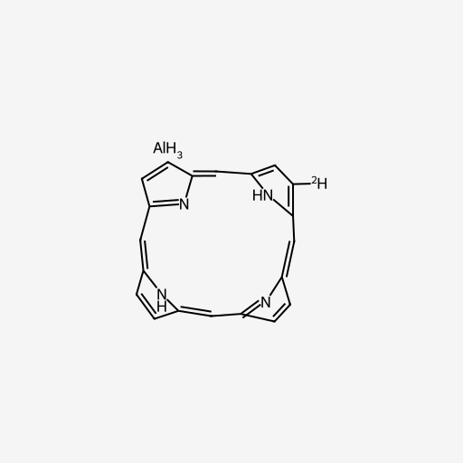 [2H]c1cc2cc3nc(cc4ccc(cc5nc(cc1[nH]2)C=C5)[nH]4)C=C3.[AlH3]